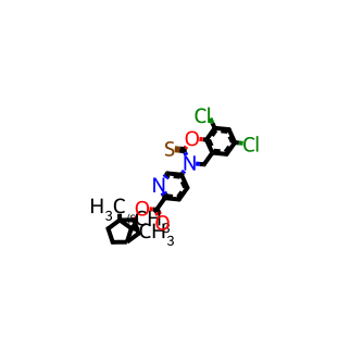 CC1(C)C2CCC1(C)[C@@H](OC(=O)c1ccc(N3Cc4cc(Cl)cc(Cl)c4OC3=S)cn1)C2